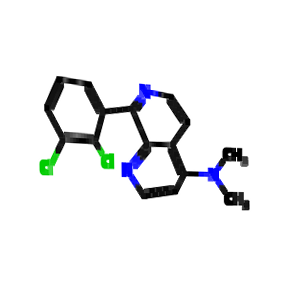 CN(C)c1ccnc2c(-c3cccc(Cl)c3Cl)nccc12